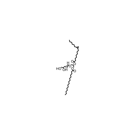 CCCCCCCCCCCCCCCC(=O)OCC(COPOCC(O)CO)OC(=O)CCCCCCCC1CC1CCCCCC